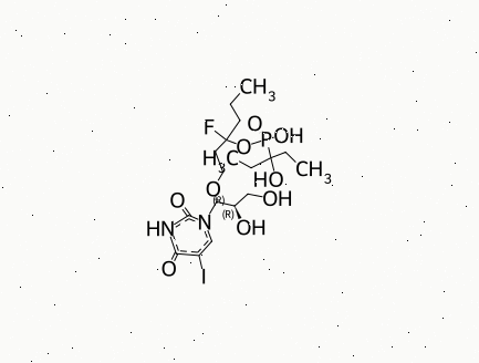 CCCC(F)(CCO[C@H]([C@H](O)CO)n1cc(I)c(=O)[nH]c1=O)OP(=O)(O)C(O)(CC)CC